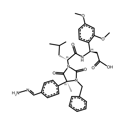 COc1ccc([C@@H](CC(=O)O)NC(=O)[C@@H](CC(C)C)N2C(=O)N(Cc3ccccc3)[C@@](C)(c3ccc(C=NN)cc3)C2=O)c(OC)c1